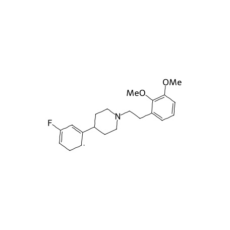 COc1cccc(CCN2CCC(C3=CC(F)=CC[CH]3)CC2)c1OC